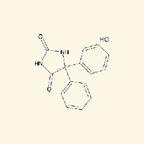 Cl.O=C1NC(=O)C(c2ccccc2)(c2ccccc2)N1